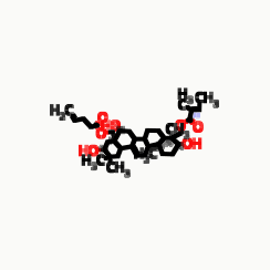 C=CCCC(=O)OC[C@]12C[C@H](O)C(C)(C)CC1C1=CCC3C(CCC4[C@]3(C)CC[C@H](O)[C@]4(C)COC(=O)/C(C)=C/C)C1C[C@H]2O